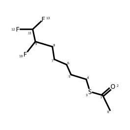 CC(=O)SCCCCCC(F)C(F)F